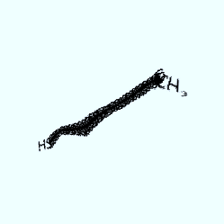 CCOS(=S)(=S)SSSSSSSSSSSSSSSSSSSSSSSSSSSSSSSSSSSSSSSSSSSSSSSSS